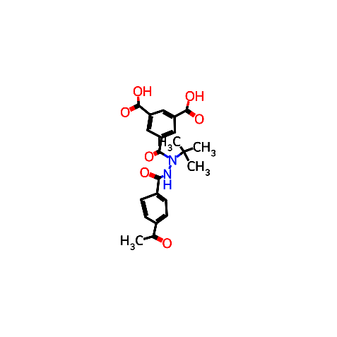 CC(=O)c1ccc(C(=O)NN(C(=O)c2cc(C(=O)O)cc(C(=O)O)c2)C(C)(C)C)cc1